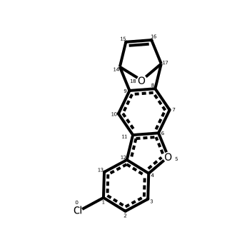 Clc1ccc2oc3cc4c(cc3c2c1)C1C=CC4O1